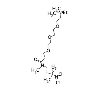 CC[N+](C)(C)CCOCCOCCOCCC(=O)N(C)CCC(C)(C)N(Cl)Cl